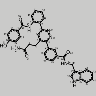 NC(=O)CCc1cc(-c2ccccc2NC(=O)c2ccc(O)cc2)nnc1-c1cccc(C(=O)NCc2c[nH]c3ccccc23)c1